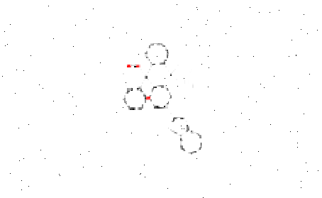 CC1(C)c2ccccc2C2(c3ccccc3Sc3ccccc32)c2ccc(-c3nc4ccccc4s3)cc21